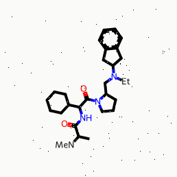 CCN(CC1CCCN1C(=O)C(NC(=O)C(C)NC)C1CCCCC1)C1Cc2ccccc2C1